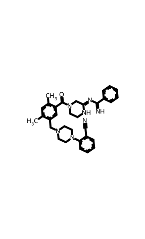 Cc1cc(C)c(C(=O)N2CCN/C(=N\C(=N)c3ccccc3)C2)cc1CN1CCN(c2ccccc2C#N)CC1